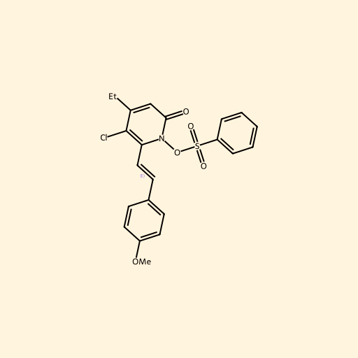 CCc1cc(=O)n(OS(=O)(=O)c2ccccc2)c(/C=C/c2ccc(OC)cc2)c1Cl